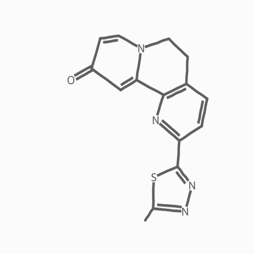 Cc1nnc(-c2ccc3c(n2)-c2cc(=O)ccn2CC3)s1